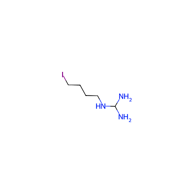 NC(N)NCCCCI